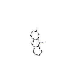 CCCCCCCCc1ccc2cc3ccccc3c(N)c2c1